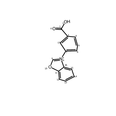 O=C(O)c1cccc(-[n+]2coc3ccccc32)c1